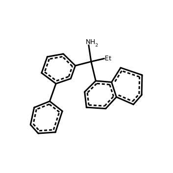 CCC(N)(c1cccc(-c2ccccc2)c1)c1cccc2ccccc12